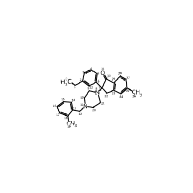 CCc1cccc(C2(N3CCN(Cc4ccccc4C)CC3)Cc3cc(C)ccc3C2=O)c1